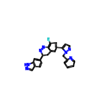 Fc1cc(-c2ccnn2Cc2ccccn2)cc2c1N=NC(c1ccc3cn[nH]c3c1)C2